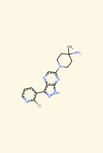 CC1(N)CCN(c2cnc3c(-c4cccnc4Cl)n[nH]c3n2)CC1